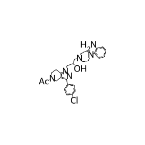 CC(=O)N1CCc2c(c(-c3ccc(Cl)cc3)nn2CC(O)CN2CCN(c3ccccc3N)CC2)C1